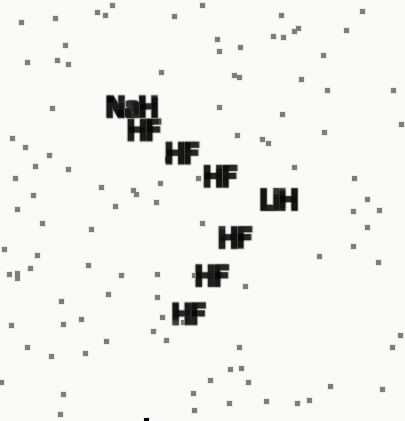 F.F.F.F.F.F.[LiH].[NaH]